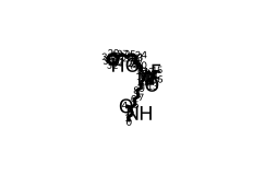 CCNC(=O)CCCCCCN1C(=O)C(F)(F)C[C@@H]1C=C[C@@H](O)[C@@H](C)CCCc1ccccc1